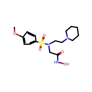 COc1ccc(S(=O)(=O)N(CCN2CCCCC2)CC(=O)NO)cc1